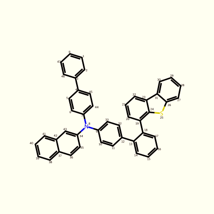 c1ccc(-c2ccc(N(c3ccc(-c4ccccc4-c4cccc5c4sc4ccccc45)cc3)c3ccc4ccccc4c3)cc2)cc1